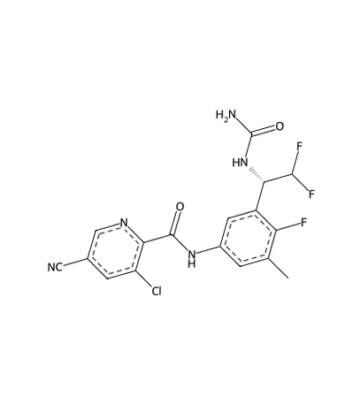 Cc1cc(NC(=O)c2ncc(C#N)cc2Cl)cc([C@H](NC(N)=O)C(F)F)c1F